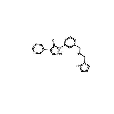 O=c1c(-c2cccnc2)c[nH]n1-c1cc(CNCc2ccc[nH]2)ccn1